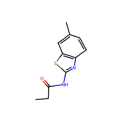 CCC(=O)Nc1nc2ccc(C)cc2s1